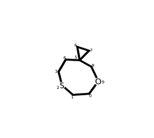 C1CSCCC2(CC2)CO1